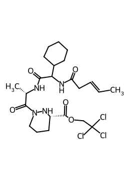 C/C=C/CC(=O)NC(C(=O)N[C@@H](C)C(=O)N1CCC[C@@H](C(=O)OCC(Cl)(Cl)Cl)N1)C1CCCCC1